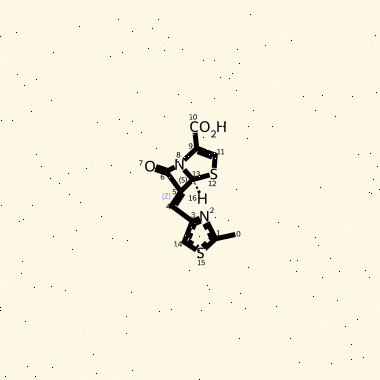 Cc1nc(/C=C2/C(=O)N3C(C(=O)O)=CS[C@@H]23)cs1